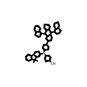 CC1(C)c2ccccc2-c2ccc(N(c3ccc(C#N)cc3)c3ccc(-c4ccc5c(-c6cccc7ccccc67)c6ccccc6c(-c6cccc7ccccc67)c5c4)cc3)cc21